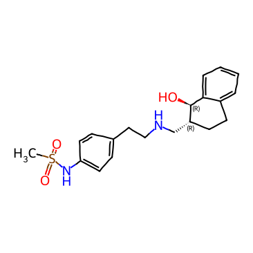 CS(=O)(=O)Nc1ccc(CCNC[C@H]2CCc3ccccc3[C@@H]2O)cc1